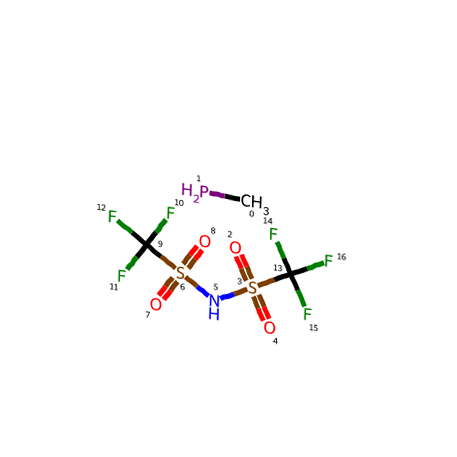 CP.O=S(=O)(NS(=O)(=O)C(F)(F)F)C(F)(F)F